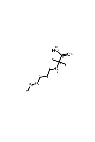 CSSCCCOC(C)(C)C(=O)O